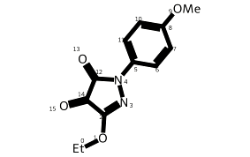 CCOC1=NN(c2ccc(OC)cc2)C(=O)C1=O